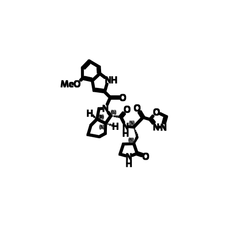 COc1cccc2[nH]c(C(=O)N3C[C@@H]4CCCC[C@@H]4[C@H]3C(=O)N[C@@H](C[C@@H]3CCNC3=O)C(=O)c3nnco3)cc12